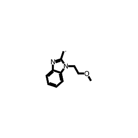 [CH2]c1nc2ccccc2n1CCOC